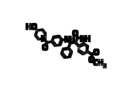 COC(=O)c1ccc2c(c1)NC(=O)/C2=C(\Nc1ccc(C(=O)N2CCC(O)CC2)cc1)c1ccccc1